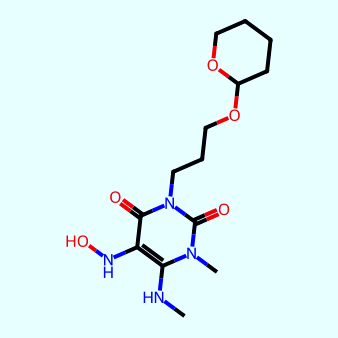 CNc1c(NO)c(=O)n(CCCOC2CCCCO2)c(=O)n1C